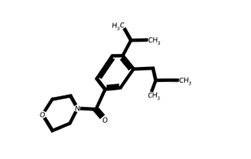 CC(C)Cc1cc(C(=O)N2CCOCC2)ccc1C(C)C